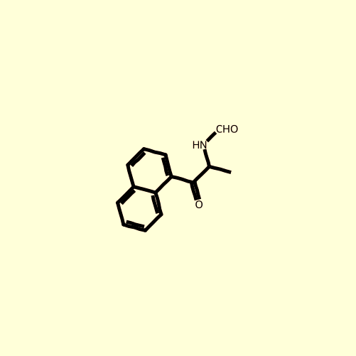 CC(NC=O)C(=O)c1cccc2ccccc12